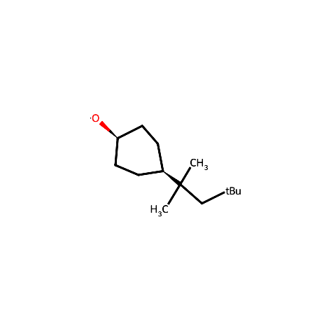 CC(C)(C)CC(C)(C)[C@H]1CC[C@@H]([O])CC1